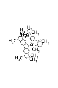 CCCC1C=C(C(C)(C)C)C=[C]1[Zr](=[C](C)c1ccccc1)[CH]1c2cc3c(cc2-c2cc4c(cc21)C(C)(C)C=C4C)C(C)=CC3(C)C